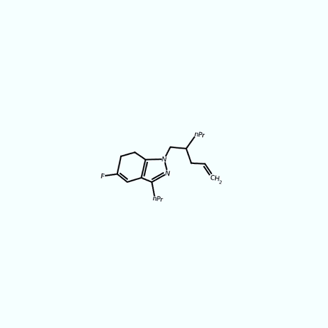 C=CCC(CCC)Cn1nc(CCC)c2c1CCC(F)=C2